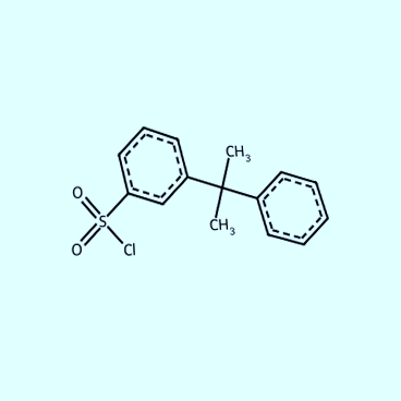 CC(C)(c1ccccc1)c1cccc(S(=O)(=O)Cl)c1